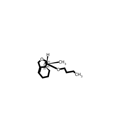 CCCCO[C@@]1(C)C[C@@H]2OCC3=CCCC[C@]32O1